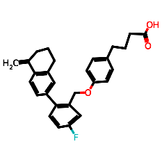 C=C1CCCc2cc(-c3ccc(F)cc3COc3ccc(CCCC(=O)O)cc3)ccc21